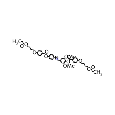 C=CC(=O)OCCCCOc1ccc(C(=O)Oc2ccc(/N=C/c3cc(OC)c(OC(=O)c4ccc(OCCCCOC(=O)C=C)cc4)c(OC)c3)cc2)cc1